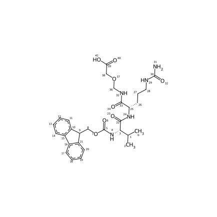 CC(C)[C@H](NC(=O)OCC1c2ccccc2-c2ccccc21)C(=O)N[C@@H](CCCNC(N)=O)C(=O)NCOCC(=O)O